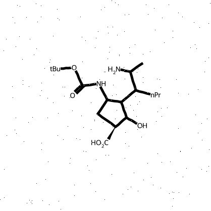 CCCC(C(C)N)C1C(NC(=O)OC(C)(C)C)C[C@H](C(=O)O)C1O